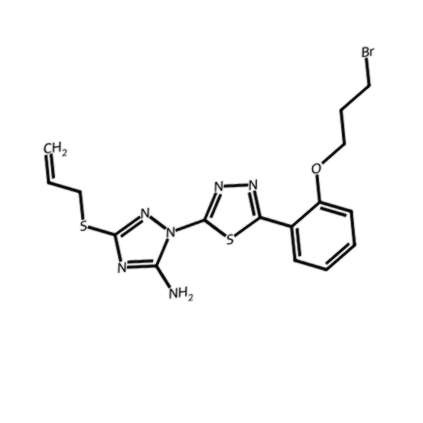 C=CCSc1nc(N)n(-c2nnc(-c3ccccc3OCCCBr)s2)n1